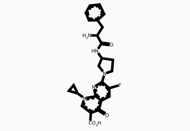 NC(Cc1ccccc1)C(=O)NC1CCN(c2nc3c(cc2F)c(=O)c(C(=O)O)cn3C2CC2)C1